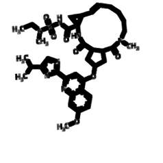 CCN(C)S(=O)(=O)NC(=O)C12CC1/C=C/CCCCN(C)C(=O)C1CC(Oc3cc(-c4nc(C(C)C)cs4)nc4cc(OC)ccc34)CC1C(=O)N2